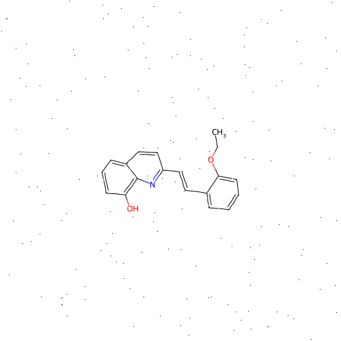 CCOc1ccccc1C=Cc1ccc2cccc(O)c2n1